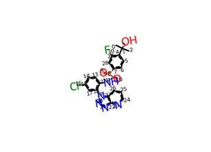 CC(C)(O)c1ccc(S(=O)(=O)Nc2ccc(Cl)cc2-n2nnc3ncccc32)cc1F